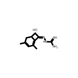 CC1=CC(C)=C2C(=NNC(=N)N)CC2C1.Cl